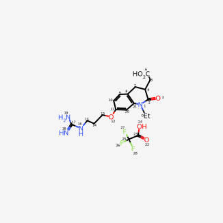 CCN1C(=O)C(CC(=O)O)Cc2ccc(OCCCNC(=N)N)cc21.O=C(O)C(F)(F)F